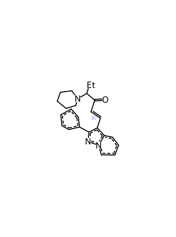 CCC(C(=O)/C=C/c1c(-c2ccccc2)nn2ccccc12)N1CCCCC1